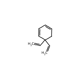 C=CC1(C=C)C=CC=CC1